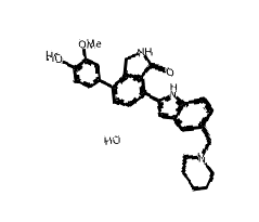 COc1cc(-c2ccc(-c3cc4cc(CN5CCCCC5)ccc4[nH]3)c3c2CNC3=O)ccc1O.Cl